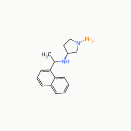 CC(N[C@H]1CCN(P)C1)c1cccc2ccccc12